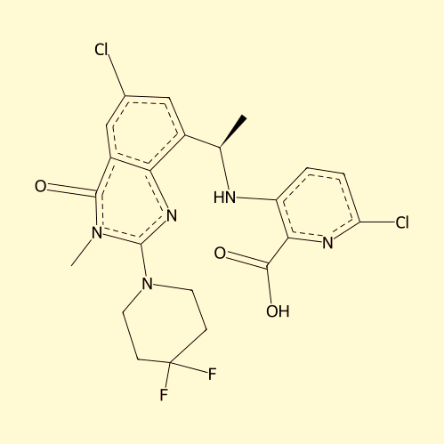 C[C@@H](Nc1ccc(Cl)nc1C(=O)O)c1cc(Cl)cc2c(=O)n(C)c(N3CCC(F)(F)CC3)nc12